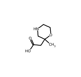 CC1(CC(=O)O)CNCCO1